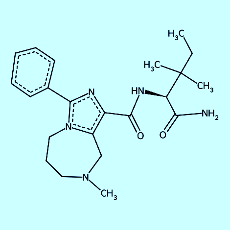 CCC(C)(C)[C@H](NC(=O)c1nc(-c2ccccc2)n2c1CN(C)CCC2)C(N)=O